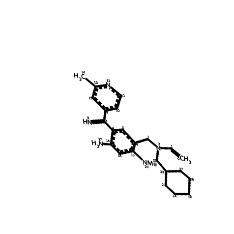 C=CN(Cc1cc(C(=N)c2ccnc(C)c2)c(N)cc1NC)CC1CCCCC1